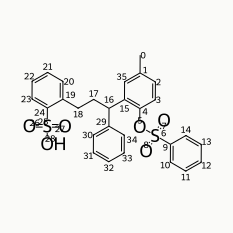 Cc1ccc(OS(=O)(=O)c2ccccc2)c(C(CCc2ccccc2S(=O)(=O)O)c2ccccc2)c1